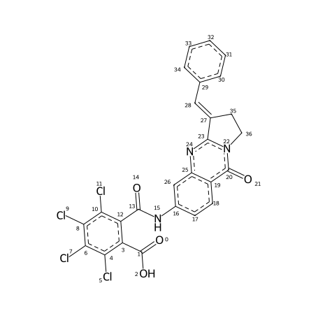 O=C(O)c1c(Cl)c(Cl)c(Cl)c(Cl)c1C(=O)Nc1ccc2c(=O)n3c(nc2c1)C(=Cc1ccccc1)CC3